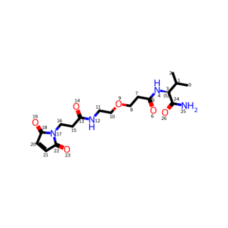 CC(C)[C@H](NC(=O)CCOCCNC(=O)CCN1C(=O)C=CC1=O)C(N)=O